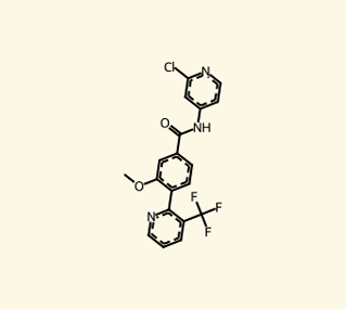 COc1cc(C(=O)Nc2ccnc(Cl)c2)ccc1-c1ncccc1C(F)(F)F